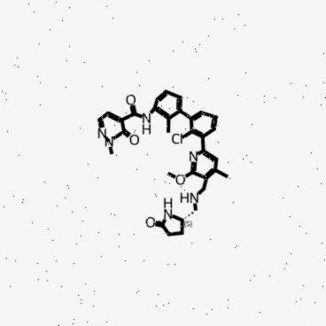 COc1nc(-c2cccc(-c3cccc(NC(=O)c4ccnn(C)c4=O)c3C)c2Cl)cc(C)c1CNC[C@@H]1CCC(=O)N1